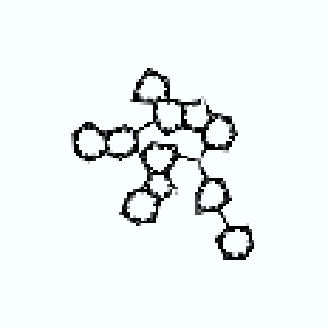 c1ccc(-c2ccc(N(c3cccc4c3oc3ccccc34)c3cccc4oc5c6ccccc6c(-c6ccc7ccccc7c6)cc5c34)cc2)cc1